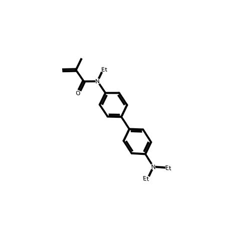 C=C(C)C(=O)N(CC)c1ccc(-c2ccc(N(CC)CC)cc2)cc1